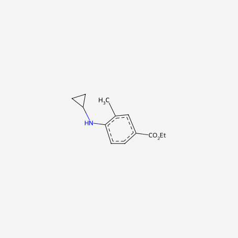 CCOC(=O)c1ccc(NC2CC2)c(C)c1